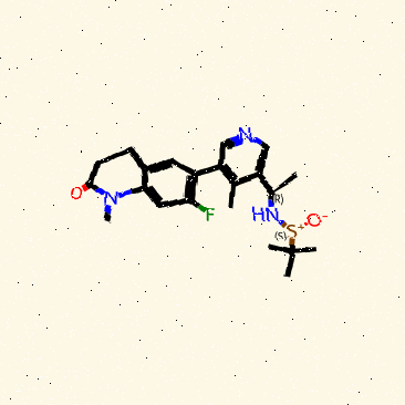 Cc1c(-c2cc3c(cc2F)N(C)C(=O)CC3)cncc1[C@@H](C)N[S@+]([O-])C(C)(C)C